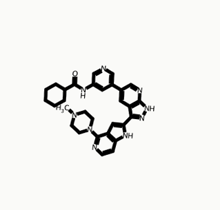 CN1CCN(c2nccc3[nH]c(-c4n[nH]c5ncc(-c6cncc(NC(=O)C7CCCCC7)c6)cc45)cc23)CC1